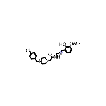 COc1cccc(/C=N/CNC(=O)CN2CCN(Cc3ccc(Cl)cc3)CC2)c1O